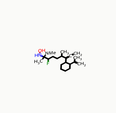 C=C=C(C(C)CCC(F)C(C)(NC)NO)C1CCCCC1C(=C)C